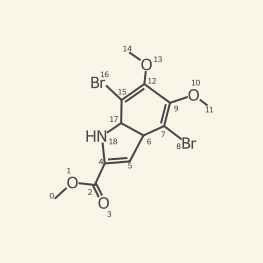 COC(=O)C1=CC2C(Br)=C(OC)C(OC)=C(Br)C2N1